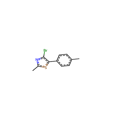 Cc1ccc(-c2sc(C)nc2Br)cc1